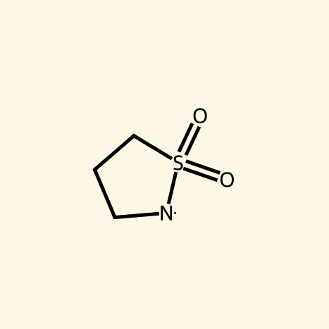 O=S1(=O)CCC[N]1